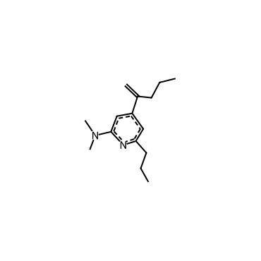 C=C(CCC)c1cc(CCC)nc(N(C)C)c1